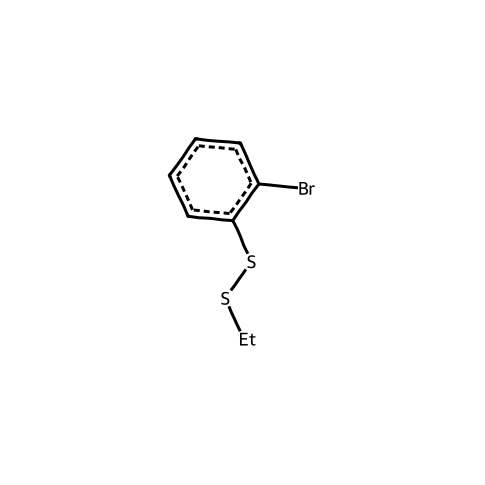 CCSSc1ccccc1Br